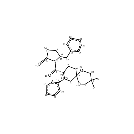 CC1(C)COC2(CC[C@@H](C(=O)N3C(=O)OC[C@H]3Cc3ccccc3)[C@H](c3ccccc3)C2)OC1